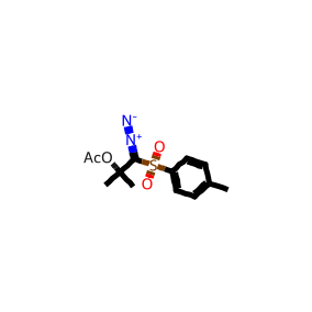 CC(=O)OC(C)(C)C(=[N+]=[N-])S(=O)(=O)c1ccc(C)cc1